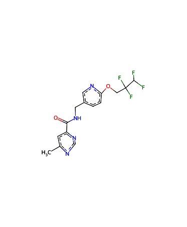 Cc1cc(C(=O)NCc2ccc(OCC(F)(F)C(F)F)nc2)ncn1